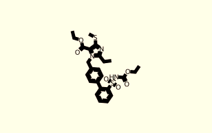 CCOC(=O)NS(=O)(=O)c1ccccc1-c1ccc(Cn2c(CC)nc(SC)c2C(=O)OCC)cc1